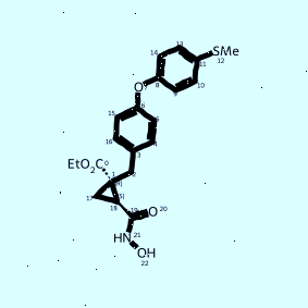 CCOC(=O)[C@@]1(Cc2ccc(Oc3ccc(SC)cc3)cc2)C[C@@H]1C(=O)NO